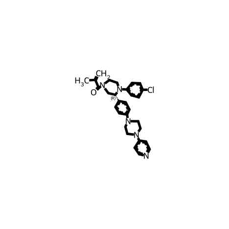 C=C(C)C(=O)N1CCN(c2ccc(Cl)cc2)[C@H](c2ccc(N3CCN(c4ccncc4)CC3)cc2)C1